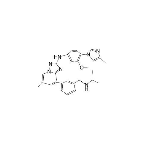 COc1cc(Nc2nc3c(-c4cccc(CNC(C)C)c4)cc(C)cn3n2)ccc1-n1cnc(C)c1